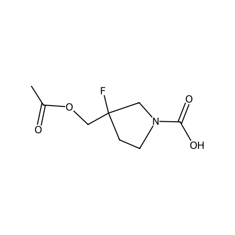 CC(=O)OCC1(F)CCN(C(=O)O)C1